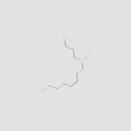 CCCN(CC/C=C\CCCN)CCCN